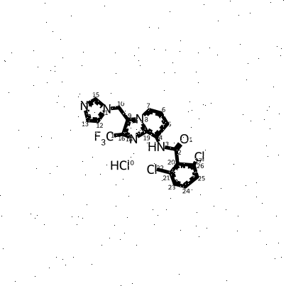 Cl.O=C(Nc1cccn2c(Cn3ccnc3)c(C(F)(F)F)nc12)c1c(Cl)cccc1Cl